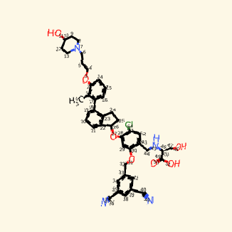 Cc1c(OCCCN2CCC(O)CC2)cccc1-c1cccc2c1CCC2Oc1cc(OCc2cc(C#N)cc(C#N)c2)c(CN[C@@H](CO)C(=O)O)cc1Cl